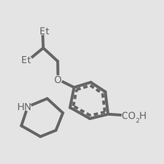 C1CCNCC1.CCC(CC)COc1ccc(C(=O)O)cc1